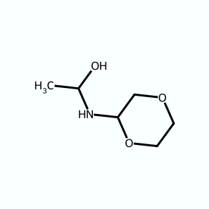 CC(O)NC1COCCO1